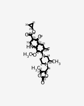 COc1c(N2CCN(Cc3oc(=O)oc3C)C(C)C2)c(F)cc2c(=O)c(C(=O)OC3CC3)c[nH]c12